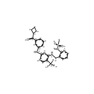 CN(c1ncccc1CNc1nc(Nc2cccc(C(=O)C3CCC3)c2)ncc1C(F)(F)F)S(C)(=O)=O